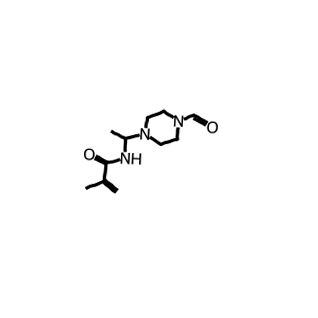 C=C(C)C(=O)NC(C)N1CCN(C=O)CC1